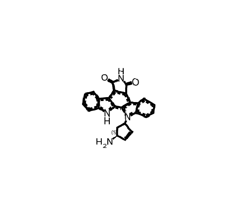 N[C@@H]1C=CC(n2c3ccccc3c3c4c(c5c6ccccc6[nH]c5c32)C(=O)NC4=O)C1